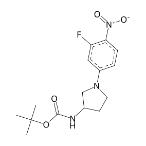 CC(C)(C)OC(=O)NC1CCN(c2ccc([N+](=O)[O-])c(F)c2)C1